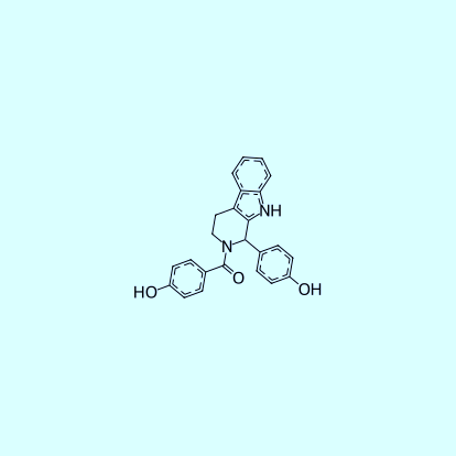 O=C(c1ccc(O)cc1)N1CCc2c([nH]c3ccccc23)C1c1ccc(O)cc1